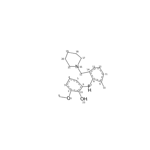 COc1cccc(Pc2c(C)cccc2CN2CCCCC2)c1O